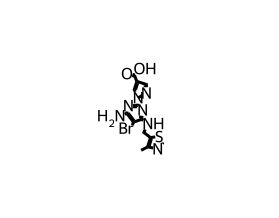 Cc1ncsc1CNc1nc(-n2cc(C(=O)O)cn2)nc(N)c1Br